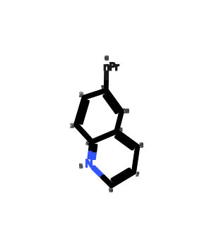 [CH2]CCc1ccc2ncccc2c1